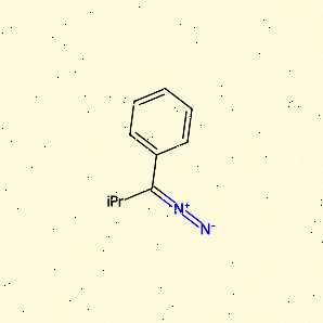 CC(C)C(=[N+]=[N-])c1ccccc1